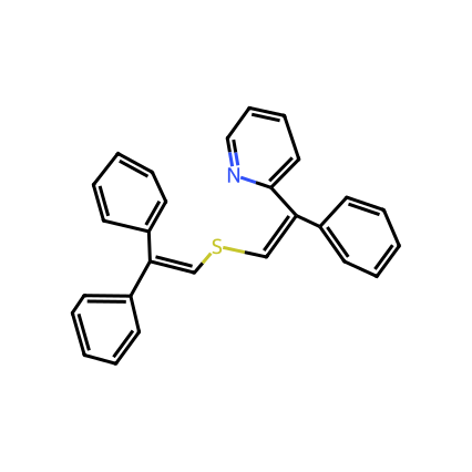 C(SC=C(c1ccccc1)c1ccccn1)=C(c1ccccc1)c1ccccc1